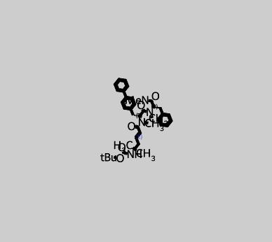 CNC(=O)[C@@H](Cc1ccccc1)N(C)C(=O)[C@@H](Cc1ccc(-c2ccccc2)cc1)N(C)C(=O)/C=C/CC(C)(C)NC(=O)OC(C)(C)C